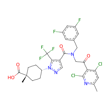 Cc1cc(Cl)c(C(=O)CN(Cc2cc(F)cc(F)c2)C(=O)c2cnn([C@H]3CC[C@@](C)(C(=O)O)CC3)c2C(F)(F)F)c(Cl)n1